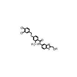 Cc1cc(SCc2ccc(Cl)c(Cl)c2)ccc1C(=O)Nc1ccc2sc(CO)nc2c1